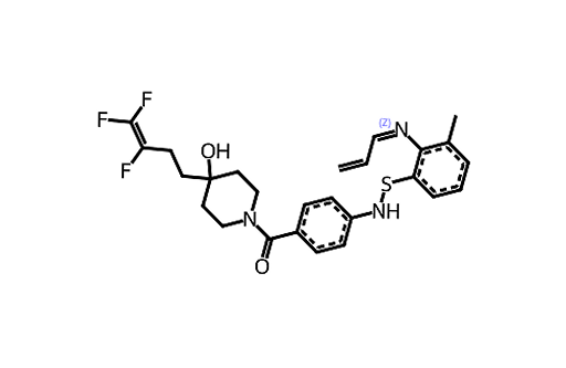 C=C/C=N\c1c(C)cccc1SNc1ccc(C(=O)N2CCC(O)(CCC(F)=C(F)F)CC2)cc1